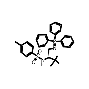 Cc1ccc(S(=O)(=O)N[C@@H](CN=P(c2ccccc2)(c2ccccc2)c2ccccc2)C(C)(C)C)cc1